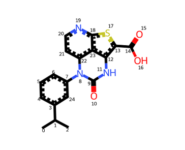 CC(C)c1cccc(N2C(=O)Nc3c(C(=O)O)sc4nccc2c34)c1